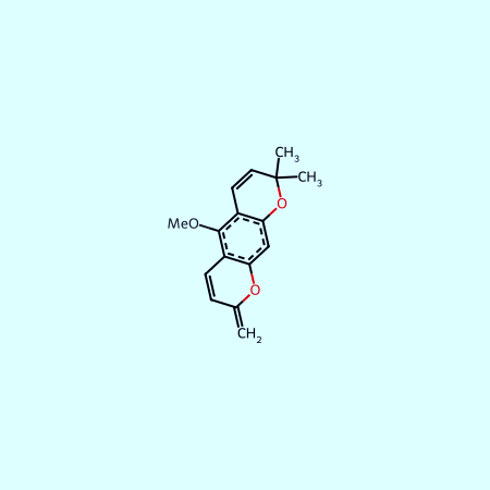 C=C1C=Cc2c(cc3c(c2OC)C=CC(C)(C)O3)O1